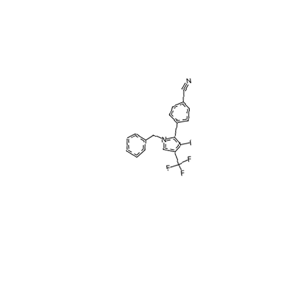 N#Cc1ccc(-c2c(I)c(C(F)(F)F)cn2Cc2ccccc2)cc1